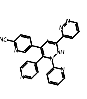 N#Cc1ccc(C2=C(c3ccncc3)N(c3ccccn3)NC(c3cccnn3)=[C]2)cn1